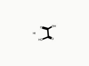 I.O=C(O)C(=O)O